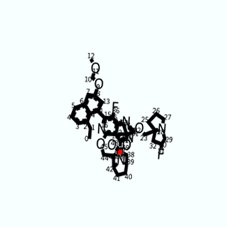 CCc1cccc2cc(OCOC)cc(-c3nc4c5c(nc(OCC67CCCN6CC(F)C7)nc5c3F)N3CC5CCC(C3CO4)N5C(=O)OC(C)(C)C)c12